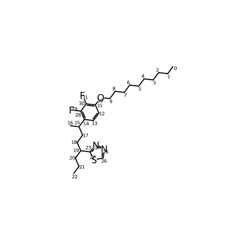 CCCCCCCCCCOc1ccc(C(C)CCC(CCC)c2nncs2)c(F)c1F